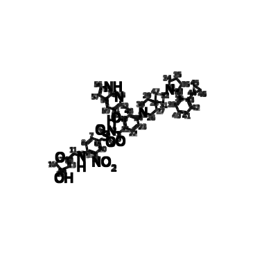 O=C(NS(=O)(=O)c1ccc(NC[C@H]2C[C@@H](O)CO2)c([N+](=O)[O-])c1)c1ccc(N2CCC3(CC2)CC(N2CCC[C@H]2c2ccccc2C2CC2)C3)cc1Oc1cnc2[nH]ccc2c1